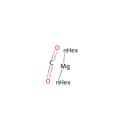 CCCCC[CH2][Mg][CH2]CCCCC.O=C=O